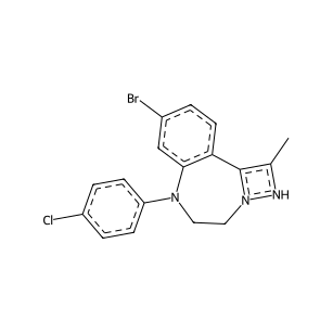 Cc1[nH]n2c1-c1ccc(Br)cc1N(c1ccc(Cl)cc1)CC2